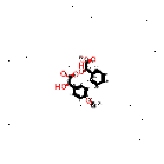 O=C([O-])C(O)c1ccccc1.O=C([O-])C(O)c1ccccc1.[O]=[Zr+2]